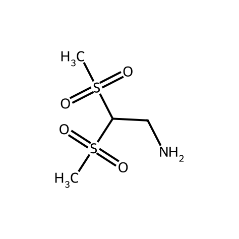 CS(=O)(=O)C(CN)S(C)(=O)=O